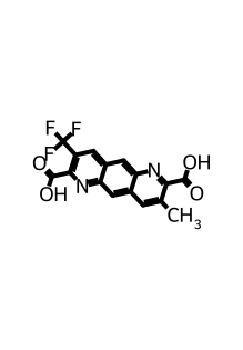 Cc1cc2cc3nc(C(=O)O)c(C(F)(F)F)cc3cc2nc1C(=O)O